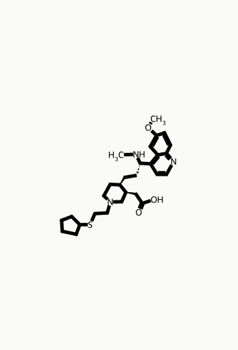 CN[C@@H](CC[C@@H]1CCN(CCSC2CCCC2)C[C@@H]1CC(=O)O)c1ccnc2ccc(OC)cc12